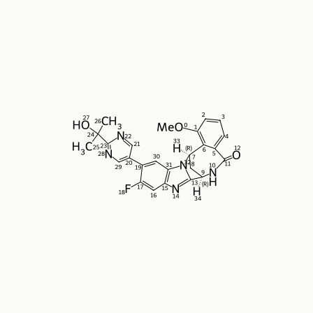 COc1cccc2c1[C@H]1C[C@@H](NC2=O)c2nc3cc(F)c(-c4cnc(C(C)(C)O)nc4)cc3n21